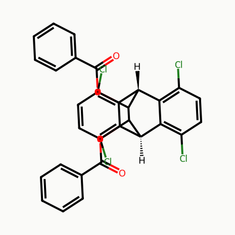 O=C(OC1C(OC(=O)c2ccccc2)[C@H]2c3c(Cl)ccc(Cl)c3[C@H]1c1c(Cl)ccc(Cl)c12)c1ccccc1